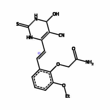 CCOc1cccc(/C=C/C2=C(C#N)C(O)NC(=S)N2)c1OCC(N)=O